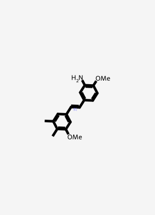 COc1ccc(/C=C/c2cc(C)c(C)c(OC)c2)cc1N